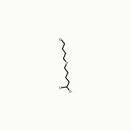 [O]C(Cl)CCCCOCCCCCl